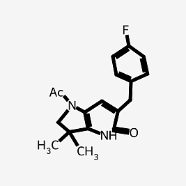 CC(=O)N1CC(C)(C)c2[nH]c(=O)c(Cc3ccc(F)cc3)cc21